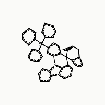 c1ccc([Si](c2ccccc2)(c2ccccc2)c2ccc3c(c2)-n2c4ccccc4c4cccc(c42)C32c3ccccc3Cc3ccccc32)cc1